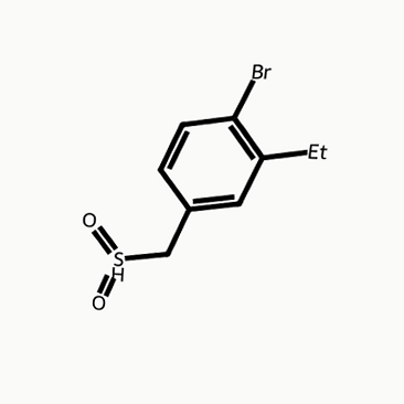 CCc1cc(C[SH](=O)=O)ccc1Br